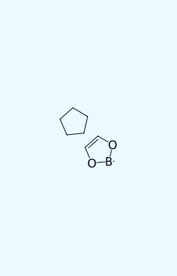 C1CCCC1.[B]1OC=CO1